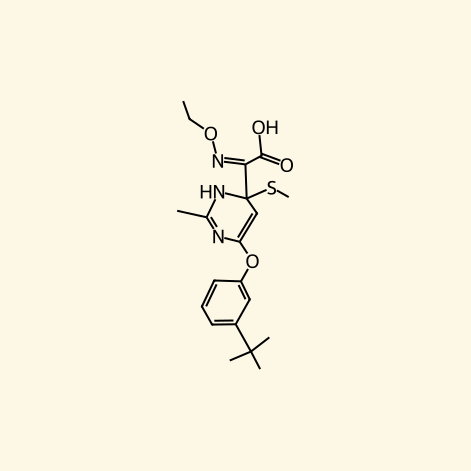 CCON=C(C(=O)O)C1(SC)C=C(Oc2cccc(C(C)(C)C)c2)N=C(C)N1